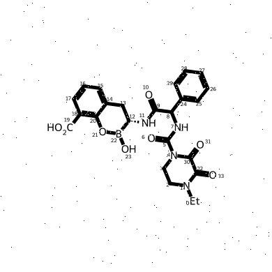 CCN1CCN(C(=O)NC(C(=O)N[C@H]2Cc3cccc(C(=O)O)c3OB2O)c2ccccc2)C(=O)C1=O